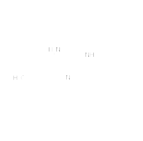 CC[CH]N(Cc1ccccc1)C(=N)N